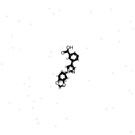 O=C(O)c1cccc(-c2cnn(-c3ccc4c(c3)OCO4)c2)c1